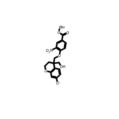 CC(C)(C)OC(=O)c1ccc(OCC2(CO)CCOc3cc(Cl)ccc32)c([N+](=O)[O-])c1